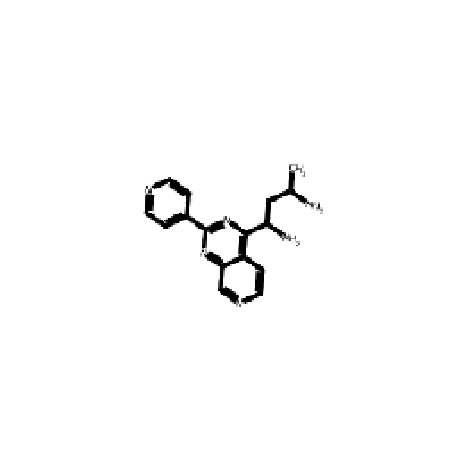 CC(N)CC(N)c1nc(-c2ccncc2)nc2cnccc12